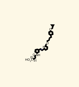 CCC(CC)(CC(=O)Nc1cccc(/C=C/c2cccc(COCCCCc3ccc(OCC4CC4)cc3)n2)c1)C(=O)O